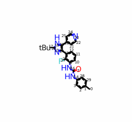 Cc1ccc(NC(=O)Nc2cccc(-c3nc(C(C)(C)C)[nH]c3-c3ccncc3)c2F)cc1